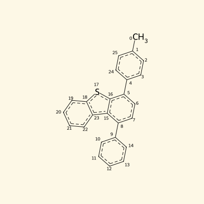 Cc1ccc(-c2ccc(-c3ccccc3)c3c2sc2ccccc23)cc1